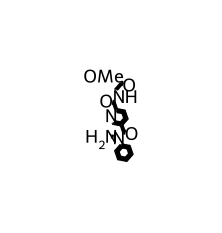 COC(=O)CNC(=O)c1ccc(C(=O)N(N)c2ccccc2)cn1